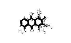 Nc1cccc2c1C(=O)c1c(N)c(N)c(Br)c(N)c1C2=O